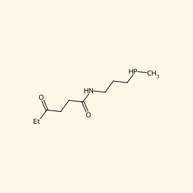 CCC(=O)CCC(=O)NCCCPC